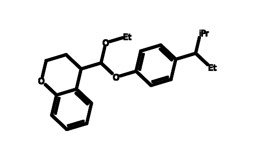 CCOC(Oc1ccc(C(CC)C(C)C)cc1)C1CCOc2ccccc21